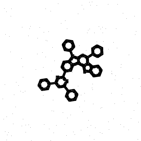 c1ccc(-c2cc(-c3ccccc3)nc(-c3ccc4c(c3)c3c5sc6ccccc6c5c(-c5ccccc5)cc3n4-c3ccccc3)n2)cc1